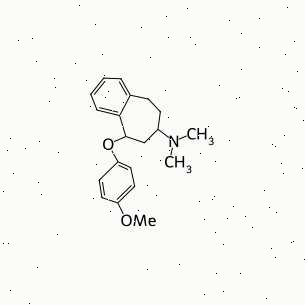 COc1ccc(OC2CC(N(C)C)CCc3ccccc32)cc1